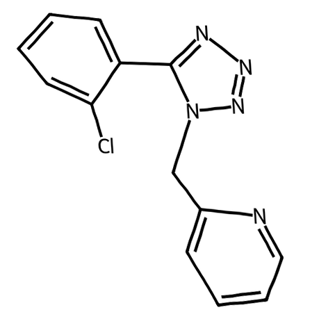 Clc1ccccc1-c1nnnn1Cc1ccccn1